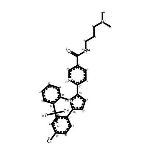 CN(C)CCCNC(=O)c1ccc(-c2ccc(-c3ccc(Cl)cc3)n2-c2ccccc2C(F)(F)F)nc1